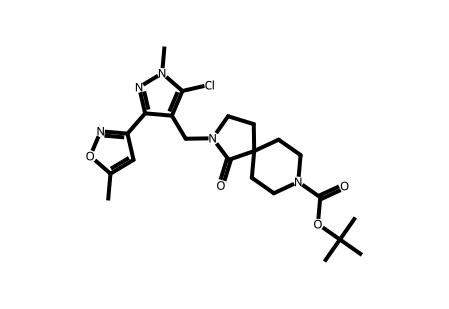 Cc1cc(-c2nn(C)c(Cl)c2CN2CCC3(CCN(C(=O)OC(C)(C)C)CC3)C2=O)no1